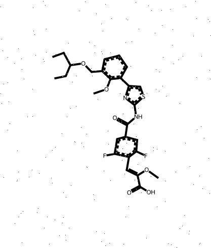 CCC(CC)OCc1cccc(-c2csc(NC(=O)c3cc(F)c(C=C(OC)C(=O)O)c(F)c3)n2)c1OC